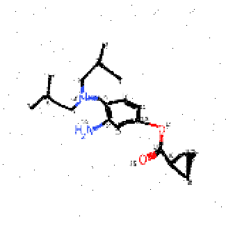 CC(C)CN(CC(C)C)c1ccc(OC(=O)C2CC2)cc1N